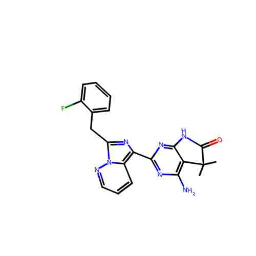 CC1(C)C(=O)Nc2nc(-c3nc(Cc4ccccc4F)n4ncccc34)nc(N)c21